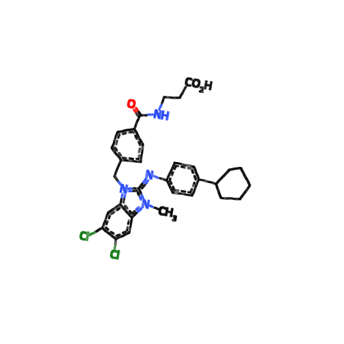 Cn1c(=Nc2ccc(C3CCCCC3)cc2)n(Cc2ccc(C(=O)NCCC(=O)O)cc2)c2cc(Cl)c(Cl)cc21